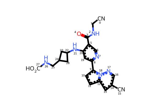 N#CCNC(=O)c1cnc(-c2ccc3cc(C#N)cnn23)cc1NC1CC(CNC(=O)O)C1